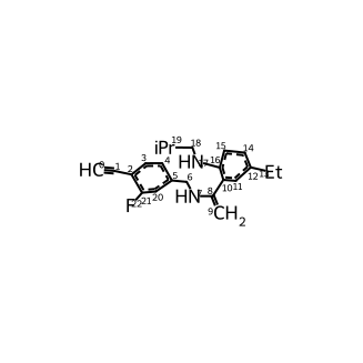 C#Cc1ccc(CNC(=C)c2cc(CC)ccc2NCC(C)C)cc1F